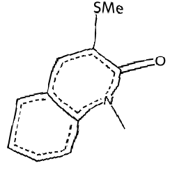 CSc1cc2ccccc2n(C)c1=O